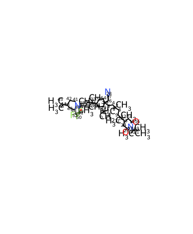 C=CCC(CC(C)(C)CCC(C)(C)C1CC(=O)N(C(C)(C)C)C(=O)C1)C1(CC#N)CCC(C(C)(C)CCC(C)(C)N2CCC(C(C)C)C[C@H]2C(F)(F)F)CC1